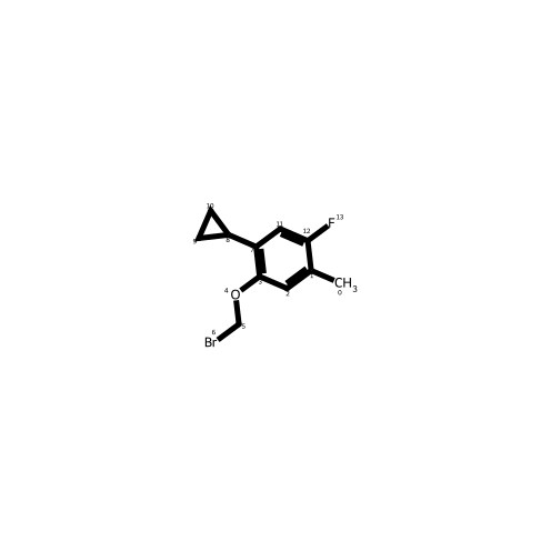 Cc1cc(OCBr)c(C2CC2)cc1F